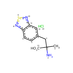 CC(N)(Cc1ccc2nsnc2c1)C(=O)O.Cl